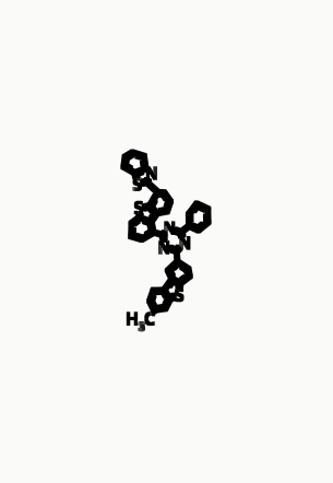 Cc1ccc2c(c1)sc1ccc(-c3nc(-c4ccccc4)nc(-c4cccc5sc6c(-c7nc8ccccc8s7)cccc6c45)n3)cc12